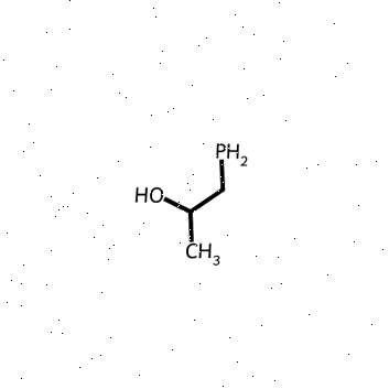 CC(O)CP